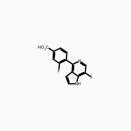 O=C(O)c1ccc(-c2ncc(F)c3[nH]ccc23)c(F)c1